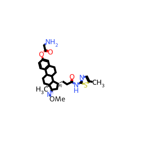 CO/N=C1\C[C@@H](CCC(=O)Nc2ncc(C)s2)C2C3CCc4cc(OC(=O)CN)ccc4C3CC[C@]12C